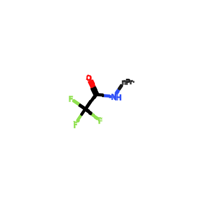 CC[CH]NC(=O)C(F)(F)F